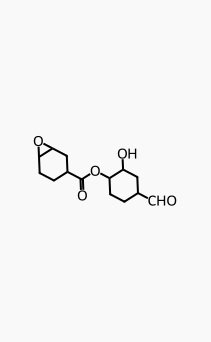 O=CC1CCC(OC(=O)C2CCC3OC3C2)C(O)C1